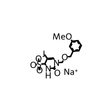 COc1cccc(COCN2C=C(I)C(S(=O)(=O)[O-])NC2=O)c1.[Na+]